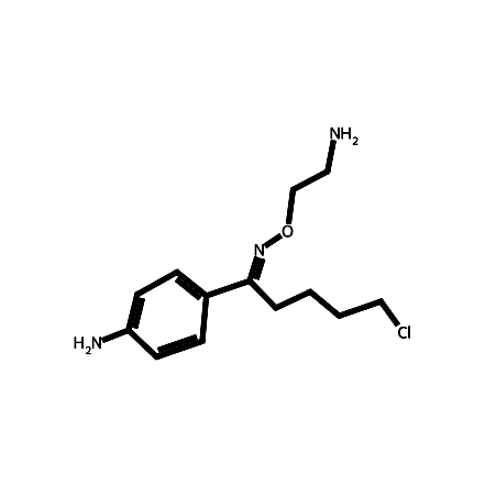 NCCON=C(CCCCCl)c1ccc(N)cc1